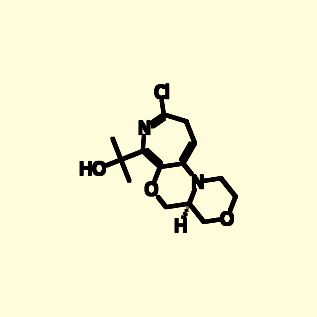 CC(C)(O)C1=C2OC[C@@H]3COCCN3C2=CCC(Cl)=N1